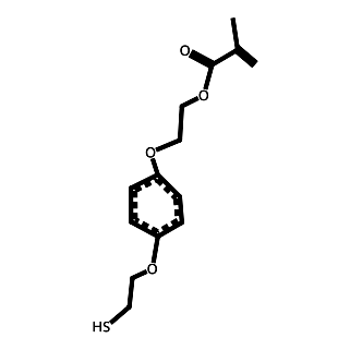 C=C(C)C(=O)OCCOc1ccc(OCCS)cc1